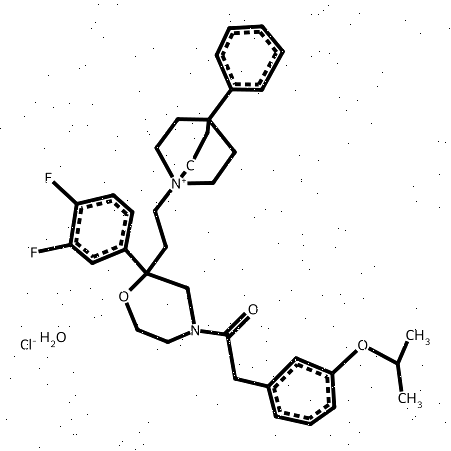 CC(C)Oc1cccc(CC(=O)N2CCOC(CC[N+]34CCC(c5ccccc5)(CC3)CC4)(c3ccc(F)c(F)c3)C2)c1.O.[Cl-]